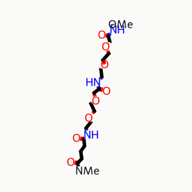 CNC(=O)CCCC(=O)NCCOCCOCC(=O)NCCOCCOCC(=O)NOC